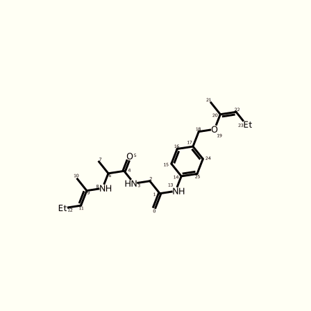 C=C(CNC(=O)C(C)N/C(C)=C/CC)Nc1ccc(CO/C(C)=C\CC)cc1